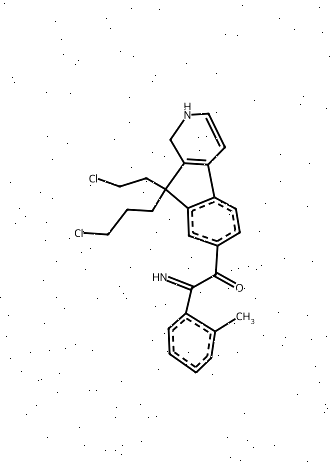 Cc1ccccc1C(=N)C(=O)c1ccc2c(c1)C(CCCl)(CCCCl)C1=C2C=CNC1